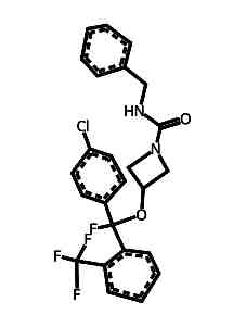 O=C(NCc1ccccc1)N1CC(OC(F)(c2ccc(Cl)cc2)c2ccccc2C(F)(F)F)C1